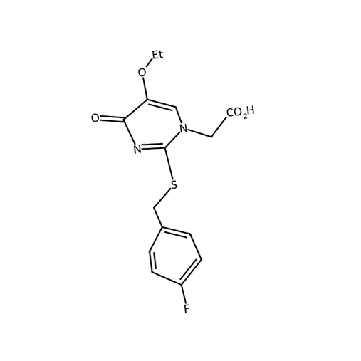 CCOc1cn(CC(=O)O)c(SCc2ccc(F)cc2)nc1=O